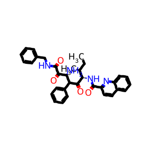 CC[C@H](C)[C@H](NC(=O)c1ccc2ccccc2n1)C(=O)C(c1ccccc1)[C@H](N)C(=O)C(=O)NCc1ccccc1